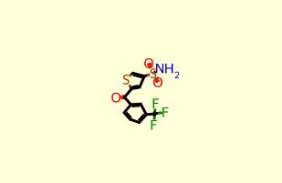 NS(=O)(=O)c1csc(C(=O)c2cccc(C(F)(F)F)c2)c1